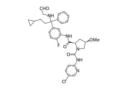 CO[C@@H]1C[C@H](C(=O)Nc2cc(C(CCC3CC3)(NCC=O)c3ccccc3)ccc2F)N(C(=O)Nc2ccc(Cl)cn2)C1